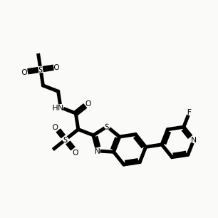 CS(=O)(=O)CCNC(=O)C(c1nc2ccc(-c3ccnc(F)c3)cc2s1)S(C)(=O)=O